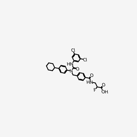 O=C(NCC(F)C(=O)O)c1ccc(CN(C(=O)Nc2cc(Cl)cc(Cl)c2)c2ccc(C3CCCCC3)cc2)cc1